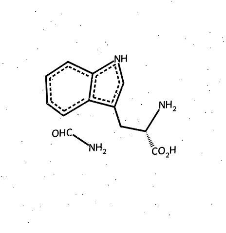 NC=O.N[C@@H](Cc1c[nH]c2ccccc12)C(=O)O